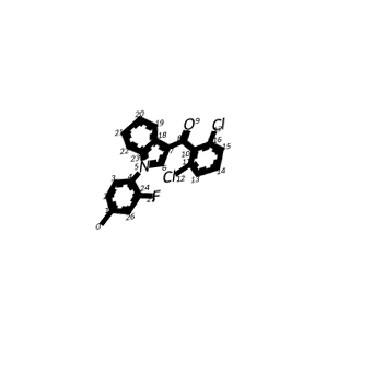 Cc1ccc(-n2cc(C(=O)c3c(Cl)cccc3Cl)c3ccccc32)c(F)c1